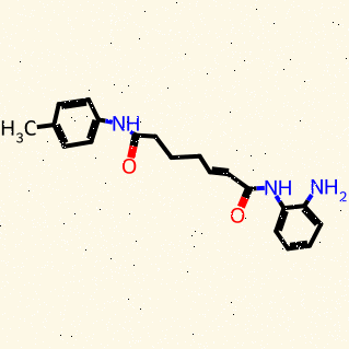 Cc1ccc(NC(=O)CCC/C=C/C(=O)Nc2ccccc2N)cc1